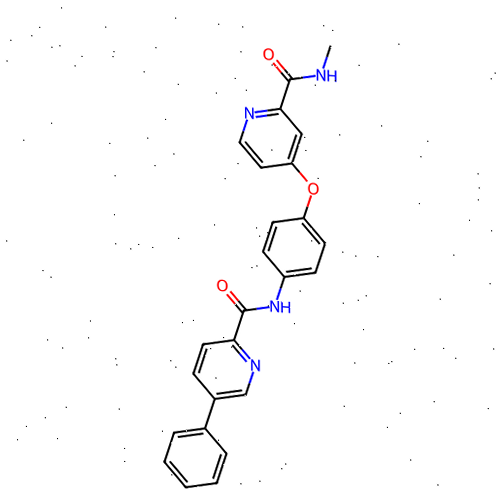 CNC(=O)c1cc(Oc2ccc(NC(=O)c3ccc(-c4ccccc4)cn3)cc2)ccn1